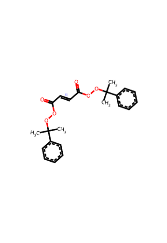 CC(C)(OOC(=O)/C=C/C(=O)OOC(C)(C)c1ccccc1)c1ccccc1